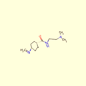 C=N[C@H]1CC[C@H](C(=O)NCCN(C)C)CC1